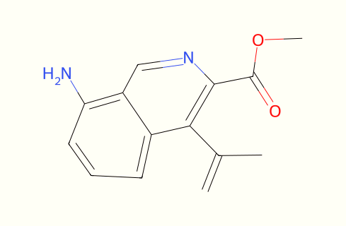 C=C(C)c1c(C(=O)OC)ncc2c(N)cccc12